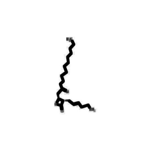 CCC/C=C/C[C@@H]1C(=O)O[C@H]1CC(=O)CCCCCCCCCCC